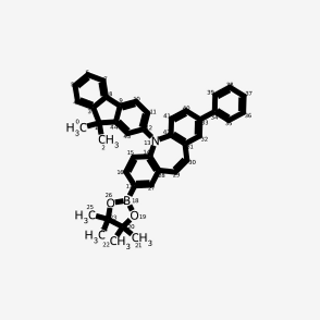 CC1(C)c2ccccc2-c2ccc(N3c4ccc(B5OC(C)(C)C(C)(C)O5)cc4C=Cc4cc(-c5ccccc5)ccc43)cc21